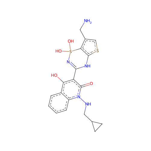 NCc1csc2c1S(O)(O)N=C(c1c(O)c3ccccc3n(NCC3CC3)c1=O)N2